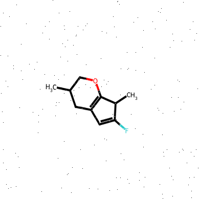 CC1COC2=C(C=C(F)C2C)C1